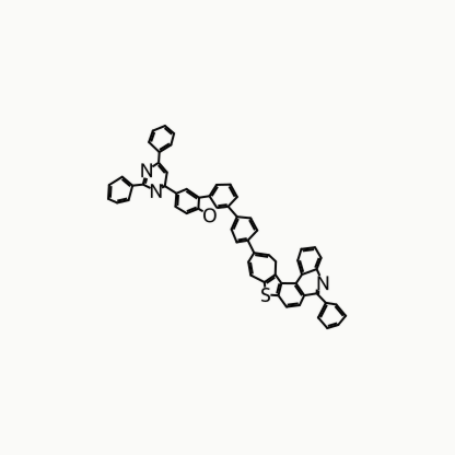 C1=Cc2sc3ccc4c(-c5ccccc5)nc5ccccc5c4c3c2CC=C1c1ccc(-c2cccc3c2oc2ccc(-c4cc(-c5ccccc5)nc(-c5ccccc5)n4)cc23)cc1